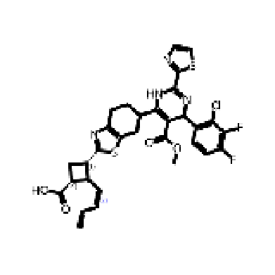 C=C/C=C\C1[C@@H](C(=O)O)C[C@@H]1c1nc2c(s1)CC(C1=C(C(=O)OC)C(c3ccc(F)c(F)c3Cl)N=C(c3nccs3)N1)CC2